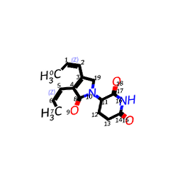 C/C=C\C1=C(/C=C\C)C(=O)N(C2CCC(=O)NC2=O)C1